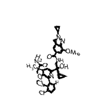 COc1cc(C(=O)NCC(O)(c2cc3c(c(-c4c(F)ccc(Cl)c4Cl)n2)OC[C@]3(C)C(N)=O)C2CC2)cc2cn(C3CC3)nc12